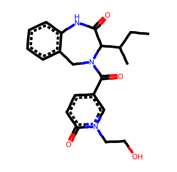 CCC(C)C1C(=O)Nc2ccccc2CN1C(=O)c1ccc(=O)n(CCO)c1